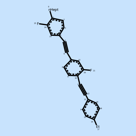 CCCCCCCc1ccc(C#Cc2ccc(C#Cc3ccc(CC)cc3)c(F)c2)cc1F